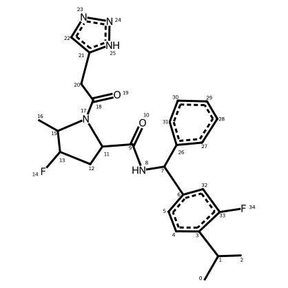 CC(C)c1ccc(C(NC(=O)C2CC(F)C(C)N2C(=O)Cc2cnn[nH]2)c2ccccc2)cc1F